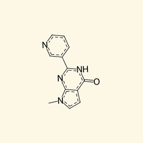 Cn1ccc2c(=O)[nH]c(-c3cccnc3)nc21